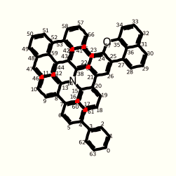 c1ccc(-c2ccc(-c3ccccc3N(c3ccccc3-c3ccc4c(c3)-c3cccc5cccc(c35)O4)c3ccccc3-c3cccc4cccc(-c5ccccc5)c34)cc2)cc1